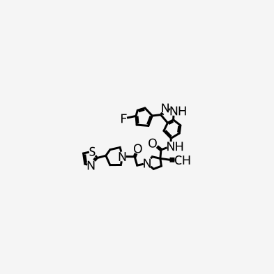 C#CC1(C(=O)Nc2ccc3[nH]nc(-c4ccc(F)cc4)c3c2)CCN(CC(=O)N2CCC(c3nccs3)CC2)C1